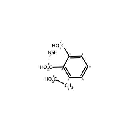 CC(=O)O.O=C(O)c1ccccc1C(=O)O.[NaH]